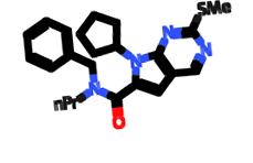 CCCN(Cc1ccccc1)C(=O)c1cc2cnc(SC)nc2n1C1CCCC1